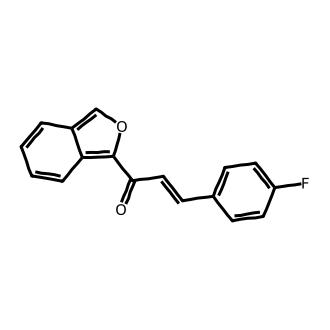 O=C(C=Cc1ccc(F)cc1)c1occ2ccccc12